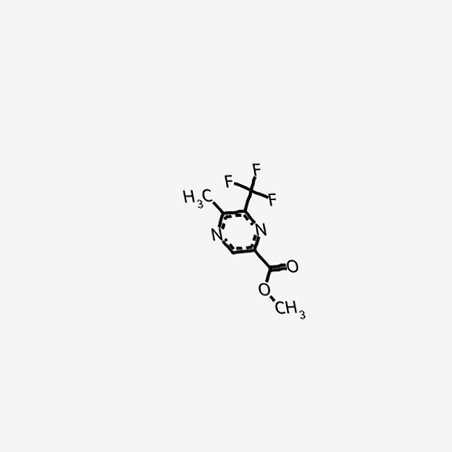 COC(=O)c1cnc(C)c(C(F)(F)F)n1